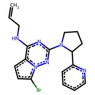 C=CCNc1nc(N2CCCC2c2ccccn2)nn2c(Br)ccc12